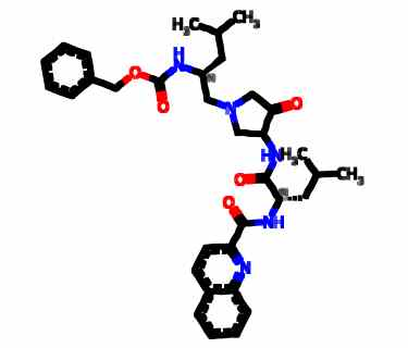 CC(C)C[C@@H](CN1CC(=O)C(NC(=O)[C@H](CC(C)C)NC(=O)c2ccc3ccccc3n2)C1)NC(=O)OCc1ccccc1